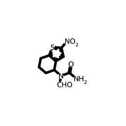 NC(=O)N(C=O)C1CCCc2sc([N+](=O)[O-])cc21